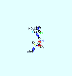 CCn1c(C)c(C(=O)O)c(-c2cc(F)cc(N3CCN(c4ccc(NS(=O)(=O)c5ccc(N[C@H](CCN6CCN(SC)CC6)CSc6ccccc6)c(S(=O)(=O)C(F)(F)F)c5)cc4)CC3)c2)c1-c1ccc(Cl)cc1